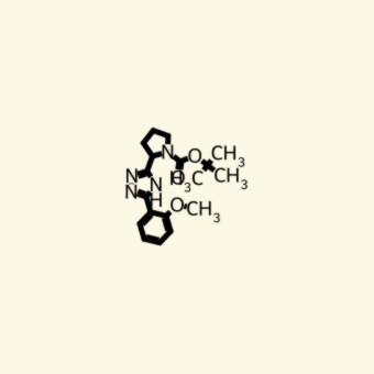 COc1ccccc1-c1nnc(C2CCCN2C(=O)OC(C)(C)C)[nH]1